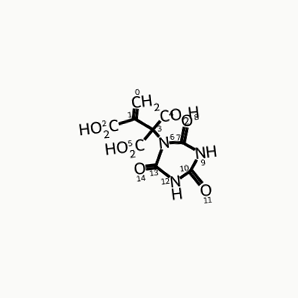 C=C(C(=O)O)C(C(=O)O)(C(=O)O)n1c(=O)[nH]c(=O)[nH]c1=O